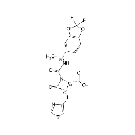 C[C@@H](NC(=O)N1C(=O)[C@H](Cc2cscn2)[C@H]1C(=O)O)c1ccc2c(c1)OC(F)(F)O2